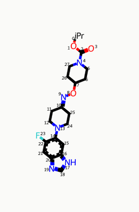 CC(C)OC(=O)N1CCC(ON=C2CCN(c3cc4[nH]cnc4cc3F)CC2)CC1